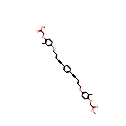 COC(=O)COc1ccc(OC/C=C/C#Cc2ccc(C#C/C=C/COc3ccc(OCC(=O)O)c(C)c3)cc2)cc1C